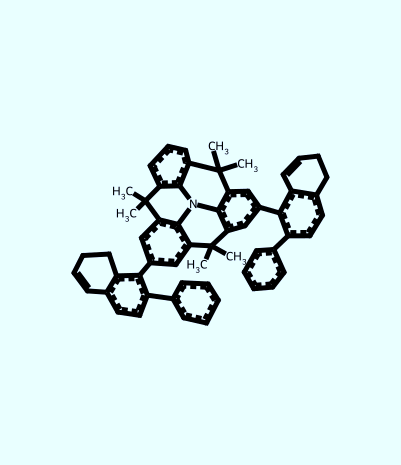 CC1(C)c2cccc3c2N2c4c1cc(-c1c(-c5ccccc5)ccc5c1C=CCC5)cc4C(C)(C)c1cc(-c4c(-c5ccccc5)ccc5c4CCC=C5)cc(c12)C3(C)C